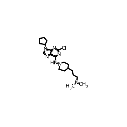 CN(C)CCCC1CCN(Nc2nc(Cl)nc3c2ncn3C2CCCC2)CC1